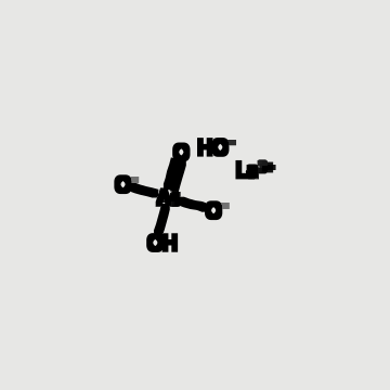 O=[As]([O-])([O-])O.[La+3].[OH-]